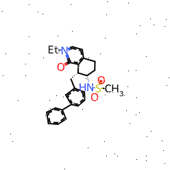 CCn1ccc2c(c1=O)[C@@H](Cc1cccc(-c3ccccc3)c1)[C@@H](NS(C)(=O)=O)CC2